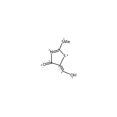 CSC1=NC(=O)/C(=C/O)S1